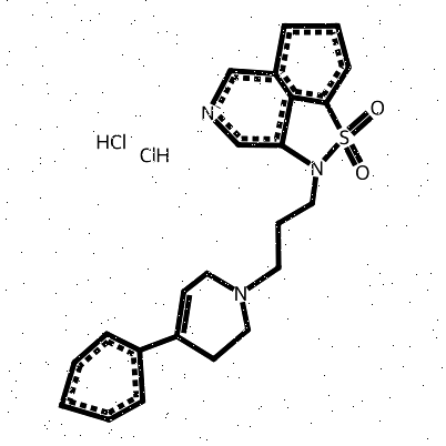 Cl.Cl.O=S1(=O)c2cccc3cncc(c23)N1CCCN1CC=C(c2ccccc2)CC1